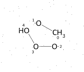 C[O].[O]OO